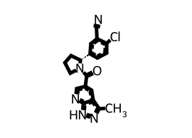 Cc1n[nH]c2ncc(C(=O)N3CCC[C@@H]3c3ccc(Cl)c(C#N)c3)cc12